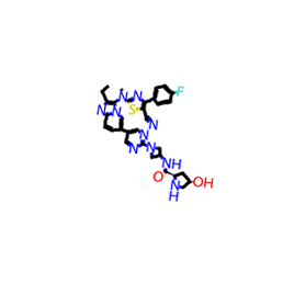 CCc1nc2ccc(-c3cnc(N4CC(NC(=O)[C@H]5C[C@H](O)CN5)C4)nc3)cn2c1N(C)c1nc(-c2ccc(F)cc2)c(C#N)s1